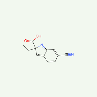 CCC1(C(=O)O)C=c2ccc(C#N)cc2=N1